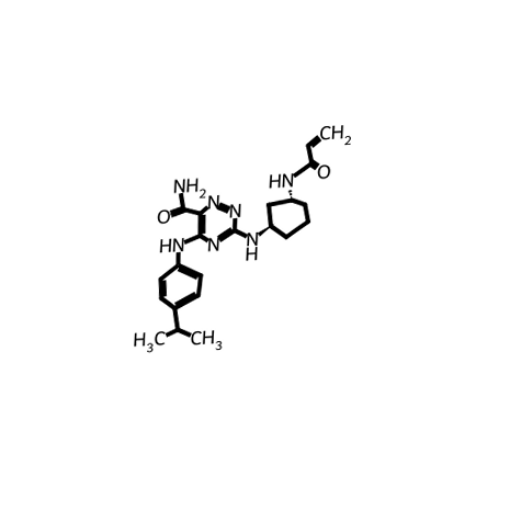 C=CC(=O)N[C@@H]1CCC[C@@H](Nc2nnc(C(N)=O)c(Nc3ccc(C(C)C)cc3)n2)C1